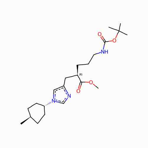 COC(=O)[C@H](CCCNC(=O)OC(C)(C)C)Cc1cn([C@H]2CC[C@H](C)CC2)cn1